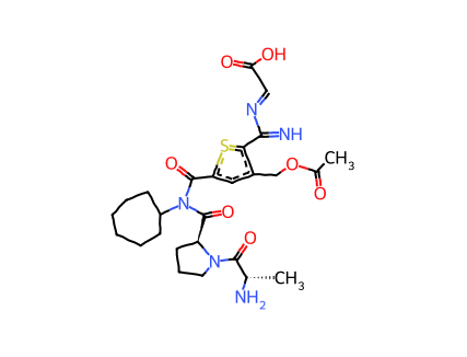 CC(=O)OCc1cc(C(=O)N(C(=O)[C@@H]2CCCN2C(=O)[C@H](C)N)C2CCCCCC2)sc1C(=N)N=CC(=O)O